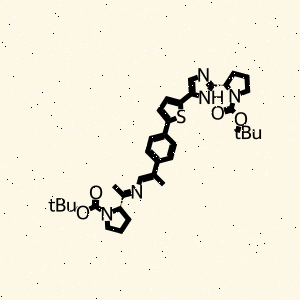 C/C(=C\N=C(/C)[C@@H]1CCCN1C(=O)OC(C)(C)C)c1ccc(-c2ccc(-c3cnc([C@@H]4CCCN4C(=O)OC(C)(C)C)[nH]3)s2)cc1